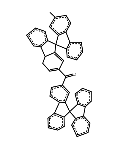 Cc1ccc2c(c1)C1(C3=CC(C(=O)c4ccc5c(c4)C4(c6ccccc6-c6ccccc64)c4ccccc4-5)=CCC3c3ccccc31)c1ccccc1-2